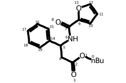 CCCCOC(=O)CC(NC(=O)c1ccco1)c1ccccc1